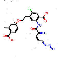 Cc1cc(OCCc2cc(NC(=O)C(=N)/C=C\C=N\N=N)c(C(=O)O)cc2Cl)ccc1C(=O)O